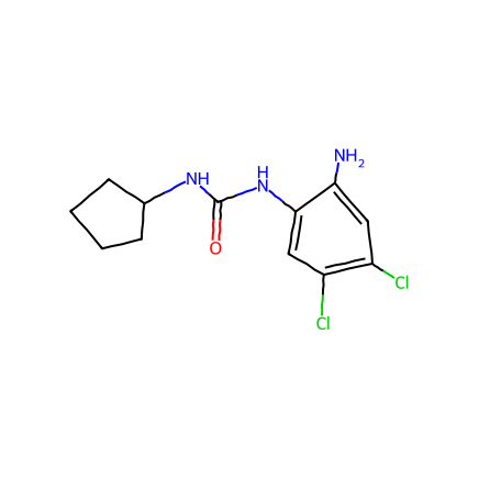 Nc1cc(Cl)c(Cl)cc1NC(=O)NC1CCCC1